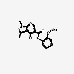 CCCCOc1ccccc1NC(=O)c1cnc2c(c(C)nn2C)c1Cl